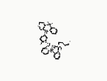 C/C=C\C=C/C1=NB(c2ccccc2Oc2cc(N3c4ccccc4C(C)(C)c4ccccc43)ccc2C)c2ccccc2O1